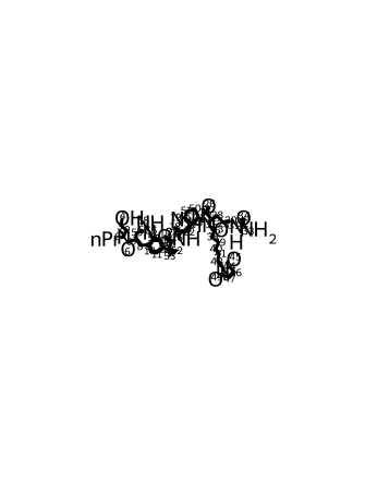 CCCN(CCO)C(=O)C1=Cc2ccc(C3(C(=O)Nc4cnc5c(c4)CN(C(=O)C(CCCNC(N)=O)NC(=O)CCCCCN4C(=O)C=CC4=O)CC5)CC3)cc2N=C(N)C1